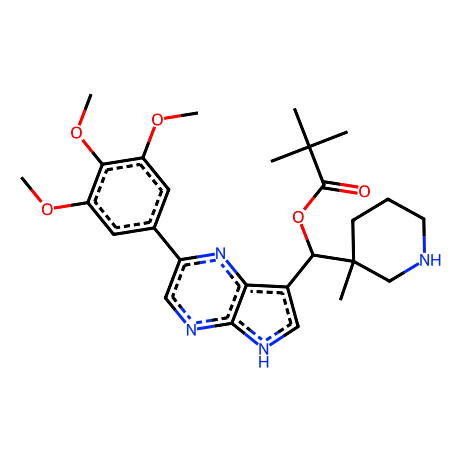 COc1cc(-c2cnc3[nH]cc(C(OC(=O)C(C)(C)C)C4(C)CCCNC4)c3n2)cc(OC)c1OC